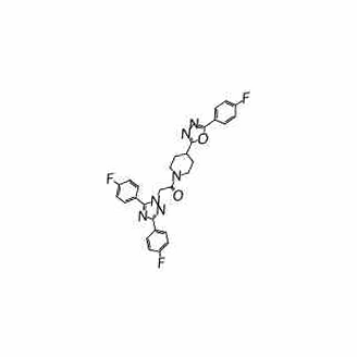 O=C(Cn1nc(-c2ccc(F)cc2)nc1-c1ccc(F)cc1)N1CCC(c2nnc(-c3ccc(F)cc3)o2)CC1